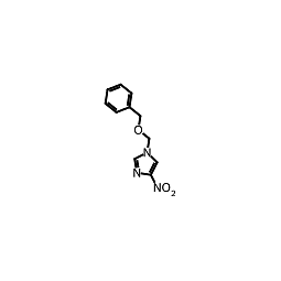 O=[N+]([O-])c1cn(COCc2ccccc2)cn1